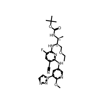 CCOC[C@@H](Nc1nc(Nc2cnc(OC)c(-n3ccnn3)c2)c(C#N)cc1F)[C@H](C)NC(=O)OC(C)(C)C